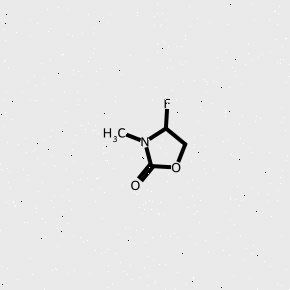 CN1C(=O)OCC1F